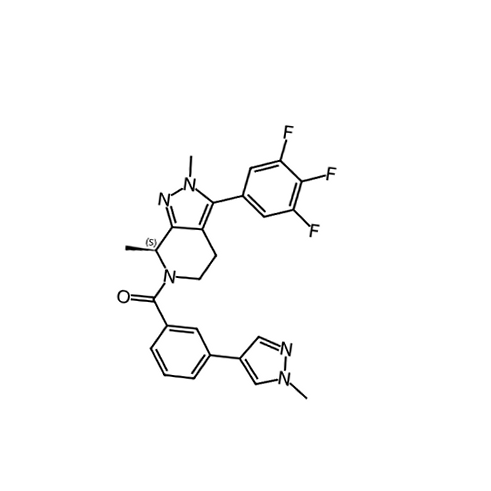 C[C@H]1c2nn(C)c(-c3cc(F)c(F)c(F)c3)c2CCN1C(=O)c1cccc(-c2cnn(C)c2)c1